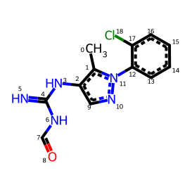 Cc1c(NC(=N)NC=O)cnn1-c1ccccc1Cl